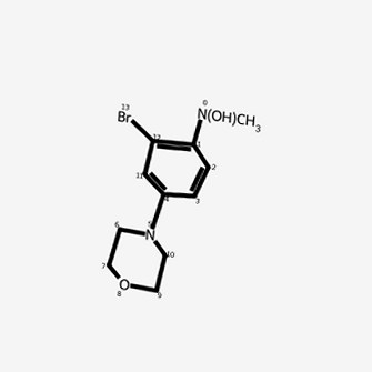 CN(O)c1ccc(N2CCOCC2)cc1Br